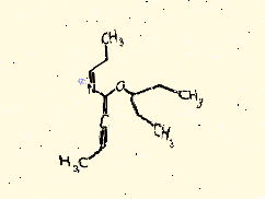 CC=C=C(/N=C\CC)OC(CC)CC